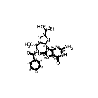 CC[C@H](O)[C@@H]1C[C@@H]([C@@H](C)OC(=O)c2ccccc2)[C@H](n2c(=O)sc3c(=O)[nH]c(N)nc32)O1